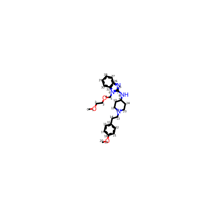 COCCOCn1c(NC2CCN(CCc3ccc(OC)cc3)CC2)nc2ccccc21